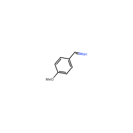 COc1ccc(C=N)cc1